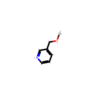 CCOCc1cc[c]nc1